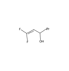 CC(C)C(O)C=C(F)F